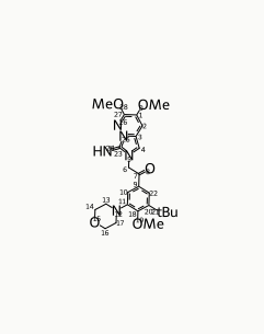 COc1cc2cn(CC(=O)c3cc(N4CCOCC4)c(OC)c(C(C)(C)C)c3)c(=N)n2nc1OC